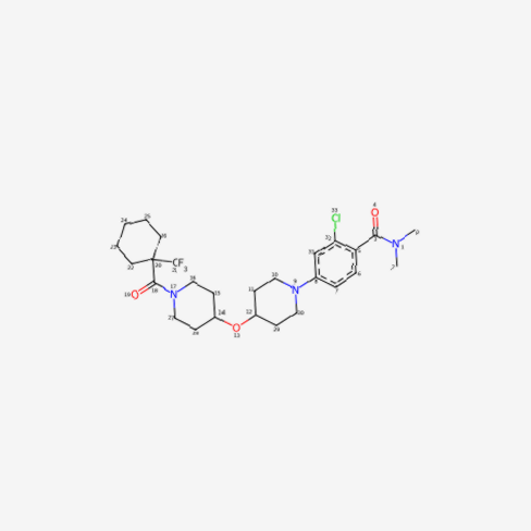 CN(C)C(=O)c1ccc(N2CCC(OC3CCN(C(=O)C4(C(F)(F)F)CCCCC4)CC3)CC2)cc1Cl